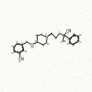 CC(C)C(C#N)(CCCN1CCC(OCc2cccc(C#N)c2)CC1)c1ccccc1